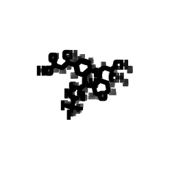 CC(C)CN(c1ccc(C(C)CC(=O)O)cc1Nc1nc(C(F)(F)F)ns1)C1CCOCC1